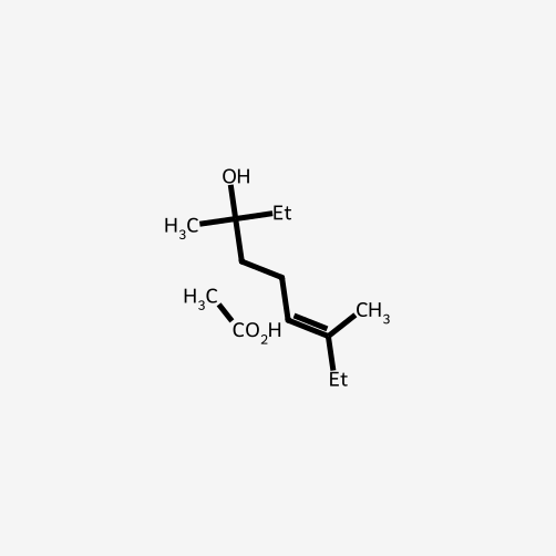 CC(=O)O.CCC(C)=CCCC(C)(O)CC